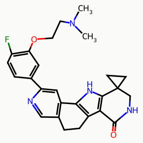 CN(C)CCOc1cc(-c2cc3c(cn2)CCc2c-3[nH]c3c2C(=O)NCC32CC2)ccc1F